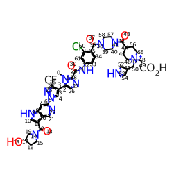 Cn1c(-c2cn(-c3cc4[nH]cc(C(=O)N5CC[C@H](O)C5)c4cn3)nc2C(F)(F)F)cnc1C(=O)Nc1ccc(C(=O)N2CCN(C(=O)C3CC[N+](CC(=O)O)(CC4CNC4)CC3)CC2)c(Cl)c1